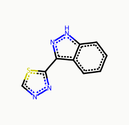 c1ccc2c(-c3nncs3)n[nH]c2c1